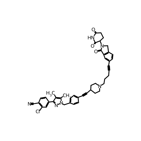 Cc1c(-c2ccc(C#N)c(Cl)c2)nn(Cc2ccc(C#CC3CCN(CCCC#Cc4ccc5c(c4)C(=O)N(C4CCC(=O)NC4=O)C5)CC3)cc2)c1C